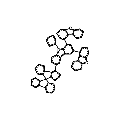 c1ccc(-n2c3ccc(-c4cccc5c4-c4ccccc4C54c5ccccc5-c5ccccc54)cc3c3cc(-c4cccc5oc6ccccc6c45)cc(-c4cccc5oc6ccccc6c45)c32)cc1